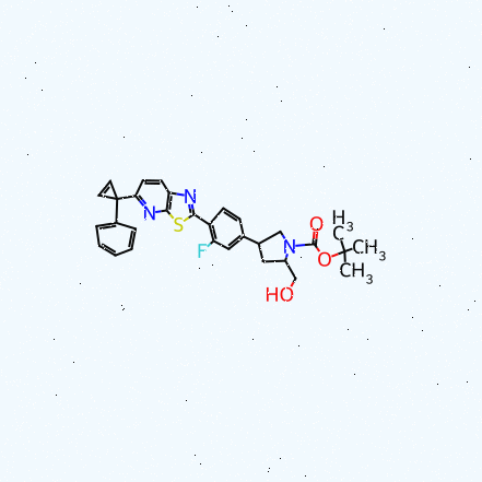 CC(C)(C)OC(=O)N1CC(c2ccc(-c3nc4ccc(C5(c6ccccc6)C=C5)nc4s3)c(F)c2)CC1CO